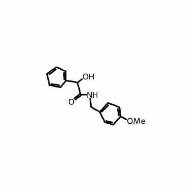 COc1ccc(CNC(=O)C(O)c2ccccc2)cc1